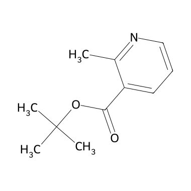 Cc1ncccc1C(=O)OC(C)(C)C